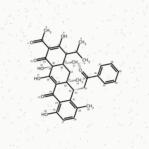 CC(=O)C1=C(O)C(C(C)C)[C@@]2(C)C[C@]3(C)C(=C(O)[C@@]2(O)C1=O)C(=O)c1c(O)ccc(C)c1[C@H]3CC(=O)c1ccccc1